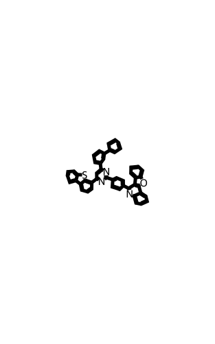 c1ccc(-c2cccc(-c3cc(-c4cccc5c4sc4ccccc45)nc(-c4ccc(-c5nc6ccccc6c6oc7ccccc7c56)cc4)n3)c2)cc1